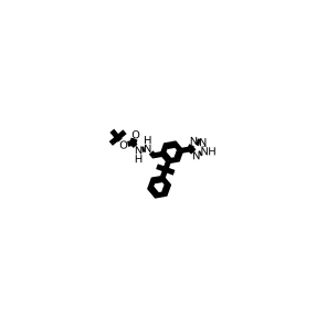 CC(C)(C)OC(=O)NNCc1ccc(-c2nn[nH]n2)cc1C(C)(C)c1ccccc1